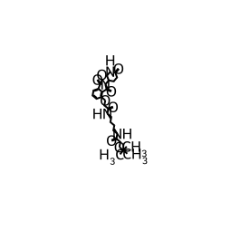 CC(C)(C)OCC(=O)NCCCCNC(=O)COc1cccc2c1C(=O)N(C1CCC(=O)NC1=O)C2=O